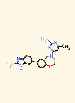 Cc1cc(N2CCOc3ccc(-c4ccc5nc(C)[nH]c5c4)cc3C2)nc(N)n1